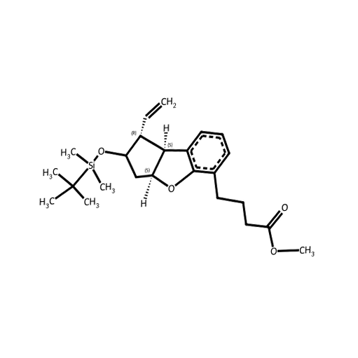 C=C[C@H]1C(O[Si](C)(C)C(C)(C)C)C[C@@H]2Oc3c(CCCC(=O)OC)cccc3[C@@H]21